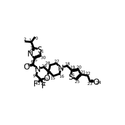 CC(C)c1nc(C(=O)N2CC(F)(F)OC3(CCN(Cc4cc(CC=O)cs4)CC3)C2)cs1